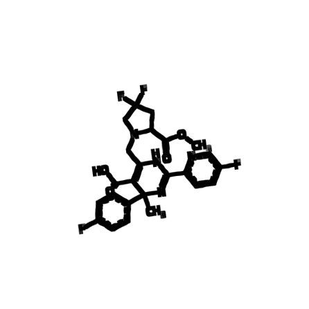 COC(=O)C1CC(F)(F)CN1CC1=C(C(=O)O)C(C)(c2ccc(F)cc2)N=C(c2ccc(F)cn2)N1